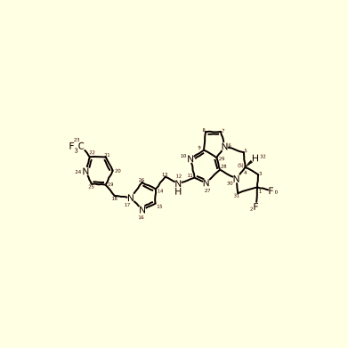 FC1(F)C[C@H]2Cn3ccc4nc(NCc5cnn(Cc6ccc(C(F)(F)F)nc6)c5)nc(c43)N2C1